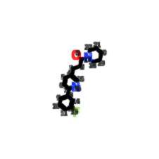 O=C(CCc1ccc(-c2cccc(F)c2)nc1)N1CCCCC1